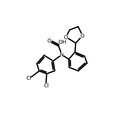 O=C(O)N(c1ccc(Cl)c(Cl)c1)c1ccccc1C1OCCO1